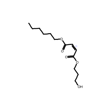 CCCCCCOC(=O)/C=C\C(=O)OCCCO